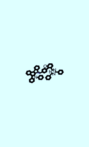 C(=C1/c2ccccc2-c2c1c1c(c3ccccc23)c2ccccc2n1-c1ccccc1)/c1ccc2c(c1)oc1cccc(-c3nc(-c4ccccc4)nc(-c4ccccc4)n3)c12